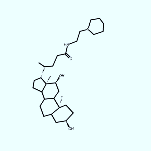 CC(CCC(=O)NCCN1CCCCC1)[C@H]1CCC2C3CCC4C[C@H](O)CC[C@]4(C)C3C[C@H](O)[C@@]21C